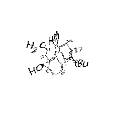 C=CCc1ccccc1O.CC(C)(C)c1ccc(O)cc1